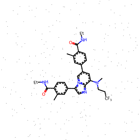 CCNC(=O)c1ccc(-c2cc(N(C)CCC(F)(F)F)c3ncc(-c4ccc(C(=O)NCC)c(C)c4)n3c2)cc1C